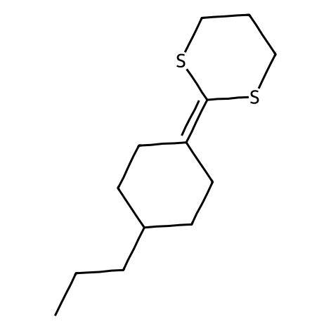 CCCC1CCC(=C2SCCCS2)CC1